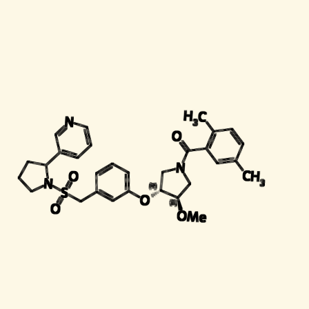 CO[C@@H]1CN(C(=O)c2cc(C)ccc2C)C[C@H]1Oc1cccc(CS(=O)(=O)N2CCCC2c2cccnc2)c1